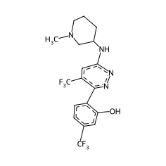 CN1CCCC(Nc2cc(C(F)(F)F)c(-c3ccc(C(F)(F)F)cc3O)nn2)C1